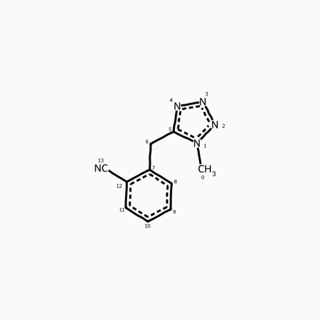 Cn1nnnc1Cc1ccccc1C#N